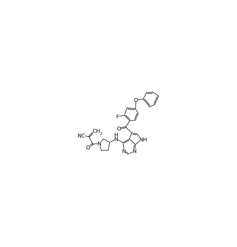 C=C(C#N)C(=O)N1CCC(Nc2ncnc3[nH]cc(C(=O)c4ccc(Oc5ccccc5)cc4F)c23)C1